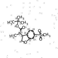 CN(C(=O)OC(C)(C)C)C1COc2cc(S(C)(=O)=O)ccc21